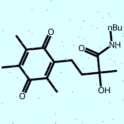 CCCCNC(=O)C(C)(O)CCC1=C(C)C(=O)C(C)=C(C)C1=O